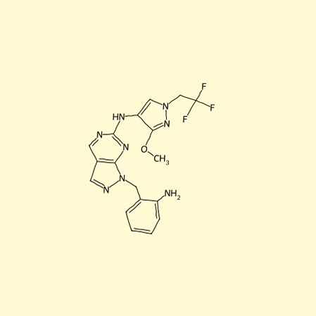 COc1nn(CC(F)(F)F)cc1Nc1ncc2cnn(Cc3ccccc3N)c2n1